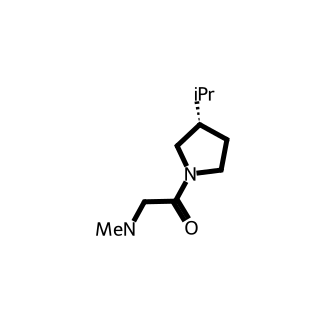 CNCC(=O)N1CC[C@@H](C(C)C)C1